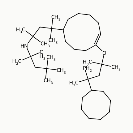 CC(C)(C)CC(C)(C)NC(C)(C)CC(C)(C)C1CCCC/C=C(/OC(C)(C)CC(C)(P)C2CCCCCCC2)CCC1